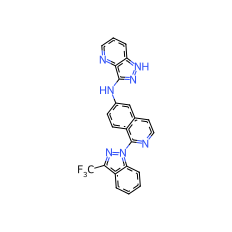 FC(F)(F)c1nn(-c2nccc3cc(Nc4n[nH]c5cccnc45)ccc23)c2ccccc12